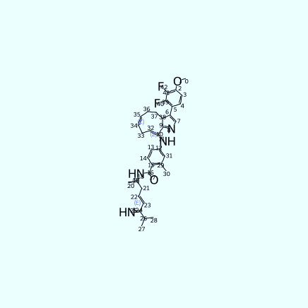 COc1ccc(C2=CN=C3/C(Nc4ccc(C(=O)N[C@H](C)C/C=C/C(=N)C(C)C)c(C)c4)=C/C/C=C\CCC23)c(F)c1F